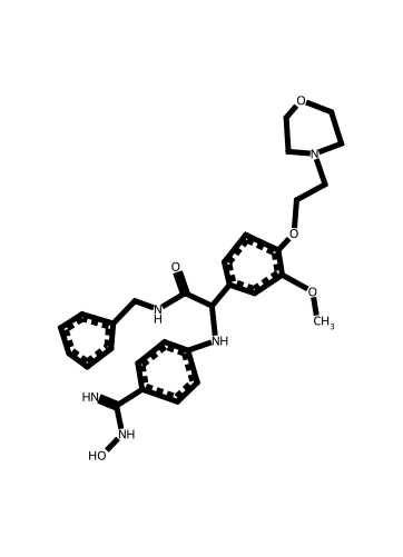 COc1cc(C(Nc2ccc(C(=N)NO)cc2)C(=O)NCc2ccccc2)ccc1OCCN1CCOCC1